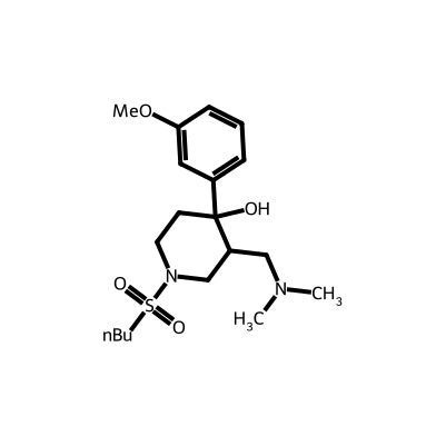 CCCCS(=O)(=O)N1CCC(O)(c2cccc(OC)c2)C(CN(C)C)C1